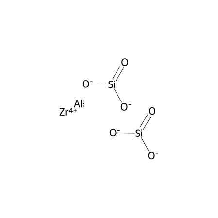 O=[Si]([O-])[O-].O=[Si]([O-])[O-].[Al].[Zr+4]